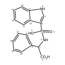 O=C(O)C(NP(=O)(O)c1c[nH]c2ccccc12)c1ccccc1